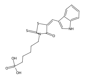 O=C1C(=Cc2c[nH]c3ccccc23)SC(=S)N1CCCCCP(=O)(O)O